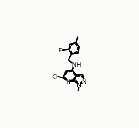 Cc1ccc(CNc2cc(Cl)nc3c2cnn3C)c(F)c1